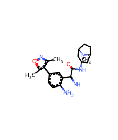 Cc1noc(C)c1-c1ccc(N)c(C(=N)C(=O)NC2CC3CCC(C2)N3C)c1